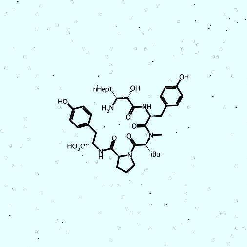 CCCCCCC[C@@H](N)[C@H](O)C(=O)N[C@@H](Cc1ccc(O)cc1)C(=O)N(C)[C@H](C(=O)N1CCC[C@H]1C(=O)N[C@@H](Cc1ccc(O)cc1)C(=O)O)[C@@H](C)CC